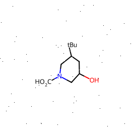 CC(C)(C)C1CC(O)CN(C(=O)O)C1